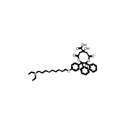 CCN(CC)CCCCCCCCCOc1ccc(C2(c3ccccc3)OC(=O)CC(O)(C(=O)O)CC(=O)OC2(Cl)c2ccccc2)cc1